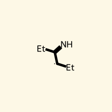 CC[CH]C(=N)CC